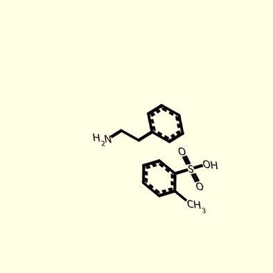 Cc1ccccc1S(=O)(=O)O.NCCc1ccccc1